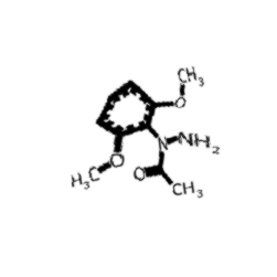 COc1cccc(OC)c1N(N)C(C)=O